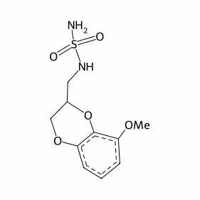 COc1cccc2c1OC(CNS(N)(=O)=O)CO2